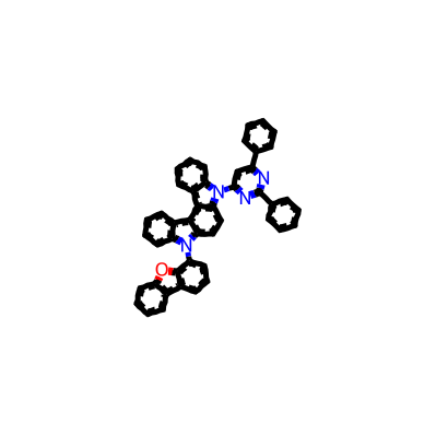 c1ccc(-c2cc(-n3c4ccccc4c4c5c6ccccc6n(-c6cccc7c6oc6ccccc67)c5ccc43)nc(-c3ccccc3)n2)cc1